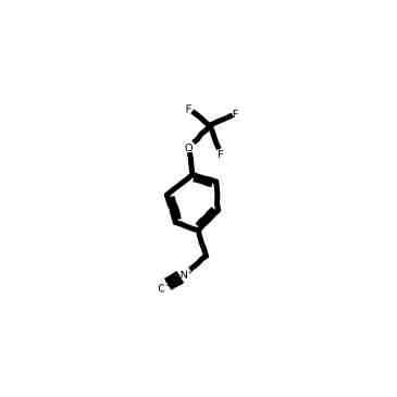 [C-]#[N+]Cc1ccc(OC(F)(F)F)cc1